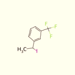 CC(I)c1cccc(C(F)(F)F)c1